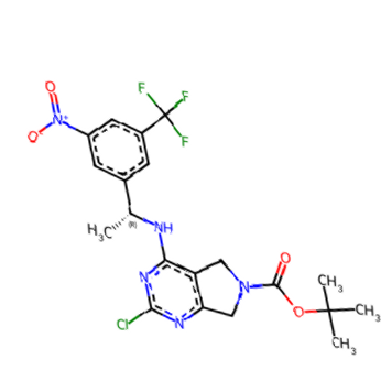 C[C@@H](Nc1nc(Cl)nc2c1CN(C(=O)OC(C)(C)C)C2)c1cc([N+](=O)[O-])cc(C(F)(F)F)c1